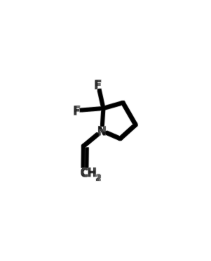 C=CN1CCCC1(F)F